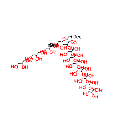 CCCCCCCCCCCCOCCCCCCCCCCCC.OCC(O)CO.OCC(O)CO.OCC(O)CO.OCC(O)CO.OCC(O)CO.OCC(O)CO.OCC(O)CO.OCC(O)CO.OCC(O)CO.OCC(O)CO.OCC(O)CO